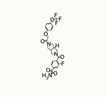 NS(=O)(=O)c1ccc(C(=O)N2CC3CN(C(=O)COc4ccc(OC(F)(F)F)cc4)C[C@@H]3C2)c(F)c1